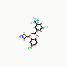 CC(Oc1ccc(Cl)cc1OC1CNC1)c1cc(F)cc(C(F)(F)F)c1